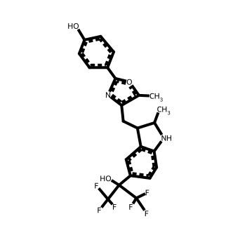 Cc1oc(-c2ccc(O)cc2)nc1CC1c2cc(C(O)(C(F)(F)F)C(F)(F)F)ccc2NC1C